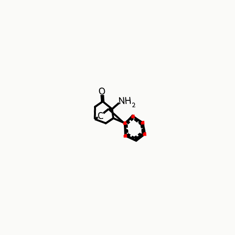 NC12C(=O)CC(CC1c1ccccc1)CC2c1ccccc1